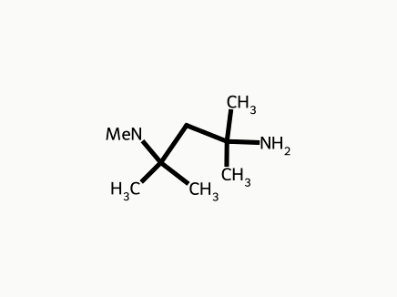 CNC(C)(C)CC(C)(C)N